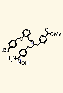 COC(=O)c1ccc(CC(/C=C/c2ccccc2OCc2ccc(C(C)(C)C)cc2)CCc2ccc(/C(N)=N\O)cc2)cc1